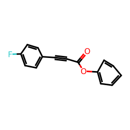 O=C(C#Cc1ccc(F)cc1)Oc1ccccc1